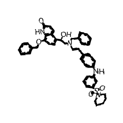 O=c1ccc2c([C@@H](O)CN(CCc3ccc(Nc4cccc(S(=O)(=O)N5CCCCC5)c4)cc3)Cc3ccccc3)ccc(OCc3ccccc3)c2[nH]1